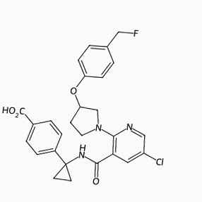 O=C(O)c1ccc(C2(NC(=O)c3cc(Cl)cnc3N3CCC(Oc4ccc(CF)cc4)C3)CC2)cc1